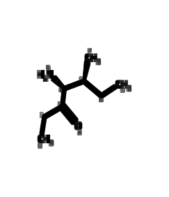 CCC(=O)[C@@H](N)[C@@H](C)CC